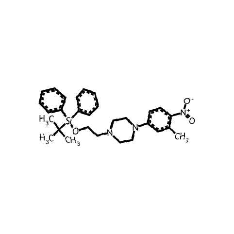 Cc1cc(N2CCN(CCO[Si](c3ccccc3)(c3ccccc3)C(C)(C)C)CC2)ccc1[N+](=O)[O-]